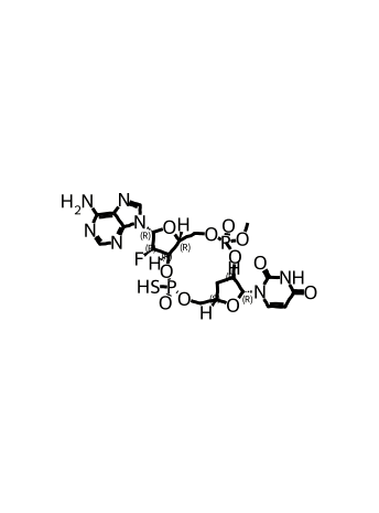 COP1(=O)OC[C@H]2O[C@@H](n3cnc4c(N)ncnc43)[C@H](F)[C@@H]2OP(=O)(S)OC[C@@H]2C[C@@H](O1)[C@H](n1ccc(=O)[nH]c1=O)O2